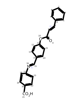 O=C(/C=C/c1ccccc1)Oc1ccc(/C=N/c2ccc(C(=O)O)cc2)cc1